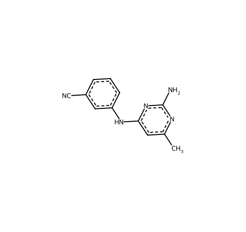 Cc1cc(Nc2cccc(C#N)c2)nc(N)n1